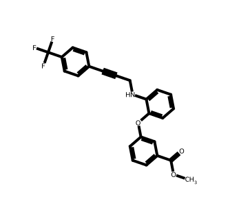 COC(=O)c1cccc(Oc2ccccc2NCC#Cc2ccc(C(F)(F)F)cc2)c1